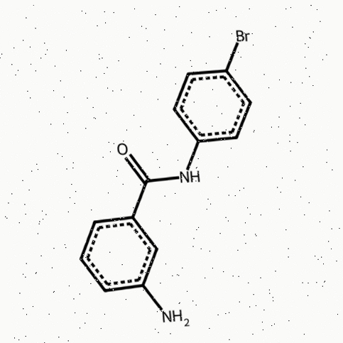 Nc1cccc(C(=O)Nc2ccc(Br)cc2)c1